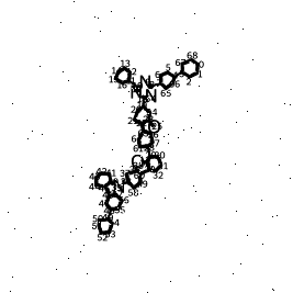 c1ccc(-c2ccc(-c3nc(-c4ccccc4)nc(-c4ccc5c(c4)oc4cc(-c6cccc7c6oc6cc(-n8c9ccccc9c9cc(-c%10ccccc%10)ccc98)ccc67)ccc45)n3)cc2)cc1